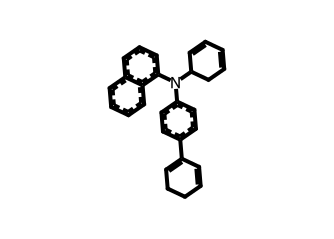 C1=CCC(N(c2ccc(C3=CCCC=C3)cc2)c2cccc3ccccc23)C=C1